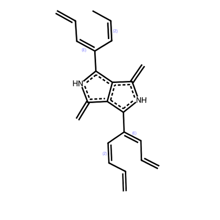 C=C/C=C\C(=C/C=C)c1[nH]c(=C)c2c(C(/C=C\C)=C/C=C)[nH]c(=C)c12